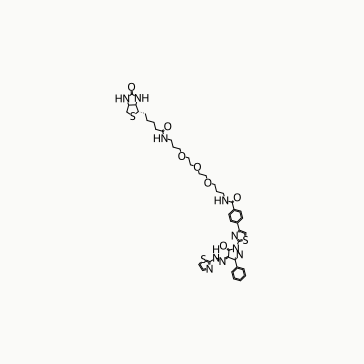 O=C(CCCC[C@@H]1SCC2NC(=O)NC21)NCCCOCCOCCOCCCNC(=O)c1ccc(-c2csc(N3N=C(c4ccccc4)/C(=N/Nc4nccs4)C3=O)n2)cc1